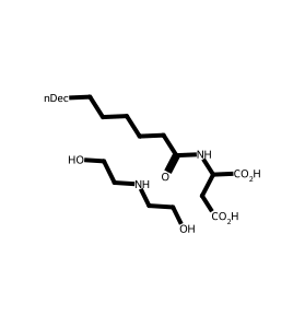 CCCCCCCCCCCCCCCC(=O)NC(CC(=O)O)C(=O)O.OCCNCCO